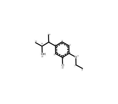 [CH2]C(c1ccc(OCC)c(Cl)c1)C(C)O